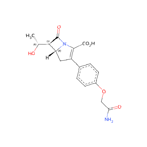 C[C@@H](O)[C@H]1C(=O)N2C(C(=O)O)=C(c3ccc(OCC(N)=O)cc3)C[C@H]12